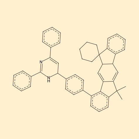 CC1(C)C2=CC3c4ccccc4C4(CCCCC4)C3C=C2c2c(-c3ccc(C4C=C(c5ccccc5)N=C(c5ccccc5)N4)cc3)cccc21